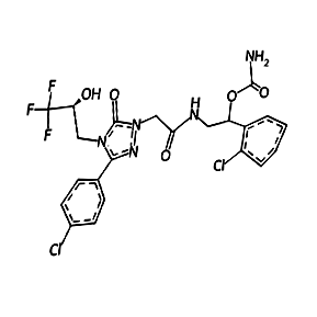 NC(=O)OC(CNC(=O)Cn1nc(-c2ccc(Cl)cc2)n(C[C@H](O)C(F)(F)F)c1=O)c1ccccc1Cl